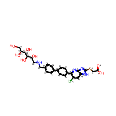 O=C(O)CSc1nc2nc(-c3ccc(-c4ccc(CNCC(O)C(O)[C@@H](O)[C@@H](O)CO)cc4)cc3)c(Cl)cc2[nH]1